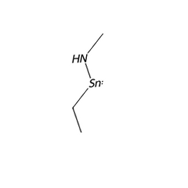 C[CH2][Sn][NH]C